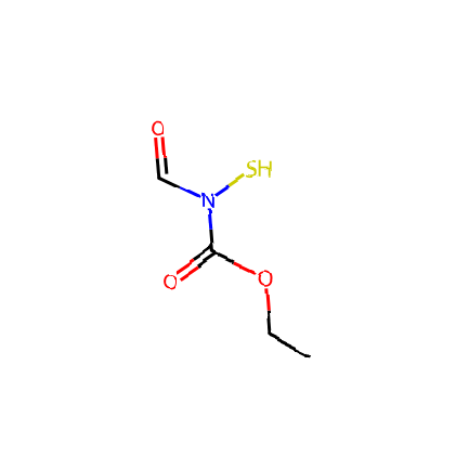 CCOC(=O)N(S)C=O